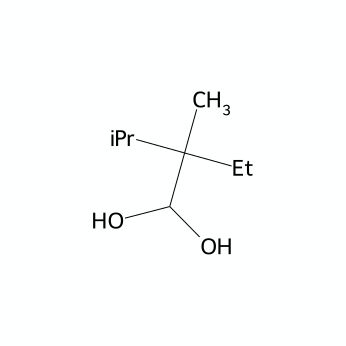 CCC(C)(C(C)C)C(O)O